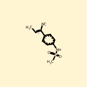 [C-]#[N+]/C(=C\C)c1ccc(NS(C)(=O)=O)cc1